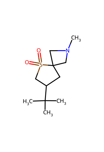 CN1CC2(CC(C(C)(C)C)CS2(=O)=O)C1